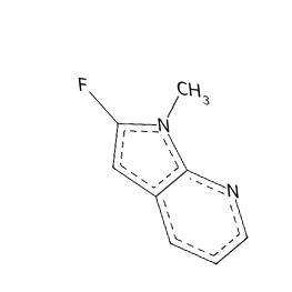 Cn1c(F)cc2cccnc21